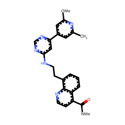 CNC(=O)c1ccnc2c(CCNc3cc(-c4cc(C)nc(OC)c4)ncn3)cccc12